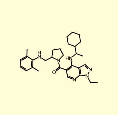 CCn1ncc2c(NC(C)C3CCCCC3)c(C(=O)N3CCCC3CNc3c(C)cccc3C)cnc21